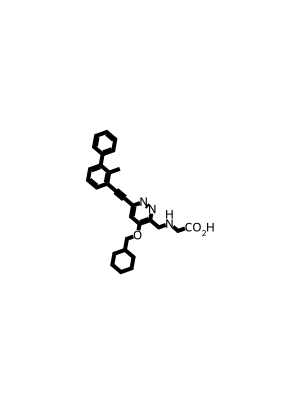 Cc1c(C#Cc2cc(OCC3CCCCC3)c(CNCC(=O)O)nn2)cccc1-c1ccccc1